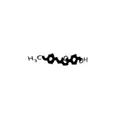 CCCC1CCC(CCC2CCC(C3CCC(CO)CC3)OC2)CC1